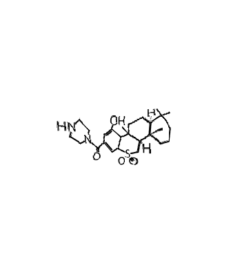 CC1(C)CCC[C@]2(C)[C@H]3CS(=O)(=O)C4C=C(C(=O)N5CCNCC5)C=C(O)C4[C@]3(C)CC[C@@H]12